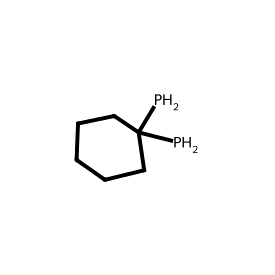 PC1(P)CCCCC1